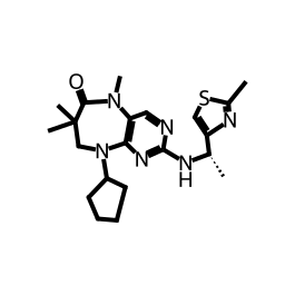 Cc1nc([C@H](C)Nc2ncc3c(n2)N(C2CCCC2)CC(C)(C)C(=O)N3C)cs1